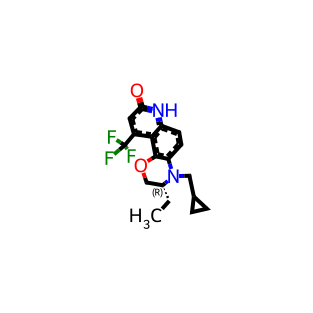 CC[C@@H]1COc2c(ccc3[nH]c(=O)cc(C(F)(F)F)c23)N1CC1CC1